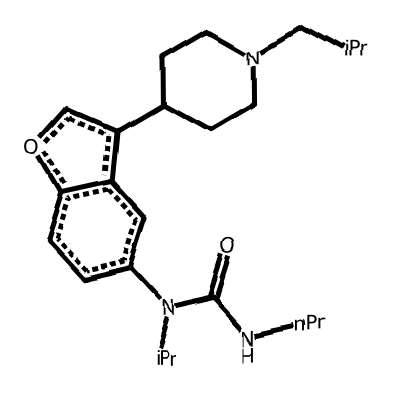 CCCNC(=O)N(c1ccc2occ(C3CCN(CC(C)C)CC3)c2c1)C(C)C